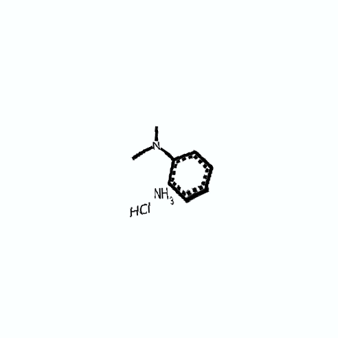 CN(C)c1ccccc1.Cl.N